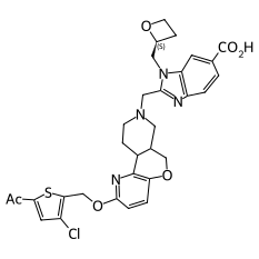 CC(=O)c1cc(Cl)c(COc2ccc3c(n2)C2CCN(Cc4nc5ccc(C(=O)O)cc5n4C[C@@H]4CCO4)CC2CO3)s1